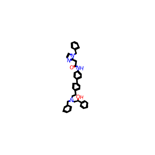 O=C(Cc1nccn1Cc1ccccc1)Nc1ccc(-c2ccc(CCN(Cc3ccccc3)CC(O)c3ccccc3)cc2)cc1